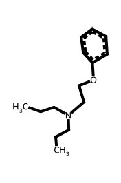 CCCN(CCC)CCOc1cc[c]cc1